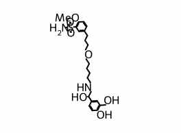 COc1ccc(CCCCOCCCCCCNC[C@H](O)c2ccc(O)c(CO)c2)cc1S(N)(=O)=O